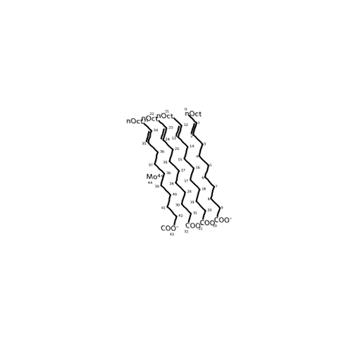 CCCCCCCCC=CCCCCCCCC(=O)[O-].CCCCCCCCC=CCCCCCCCC(=O)[O-].CCCCCCCCC=CCCCCCCCC(=O)[O-].CCCCCCCCC=CCCCCCCCC(=O)[O-].[Mo+4]